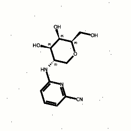 N#Cc1cccc(N[C@H]2CO[C@H](CO)[C@H](O)[C@@H]2O)n1